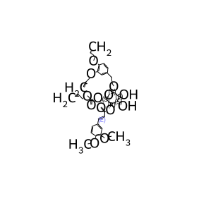 C=CCOC(=O)OC[C@@H]1O[C@H](OCCc2ccc(OCC=C)c(OCC=C)c2)[C@@H](O)[C@H](O)[C@H]1OC(=O)/C=C/c1ccc(OC)c(OC)c1